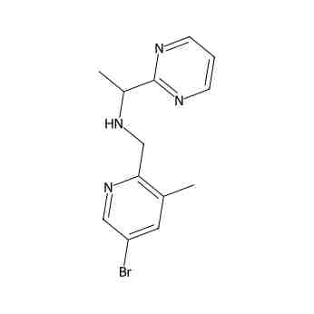 Cc1cc(Br)cnc1CNC(C)c1ncccn1